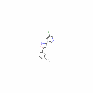 Fc1cncc(-c2cc(-c3cccc(C(F)(F)F)c3)on2)c1